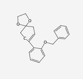 C1=C(c2ccccc2OCc2ccccc2)CCC2(C1)OCCO2